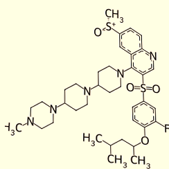 CC(C)CC(C)Oc1ccc(S(=O)(=O)c2cnc3ccc([S@@+](C)[O-])cc3c2N2CCC(N3CCC(N4CCN(C)CC4)CC3)CC2)cc1F